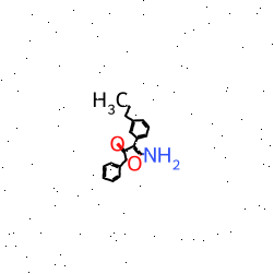 CCCc1cccc(C2=C(N)OC(c3ccccc3)C2=O)c1